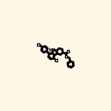 O=C(OCc1ccccc1)C1CCc2[nH]c3c(-c4ccc(Cl)cc4)ccc(Cl)c3c2C1